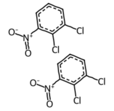 O=[N+]([O-])c1cccc(Cl)c1Cl.O=[N+]([O-])c1cccc(Cl)c1Cl